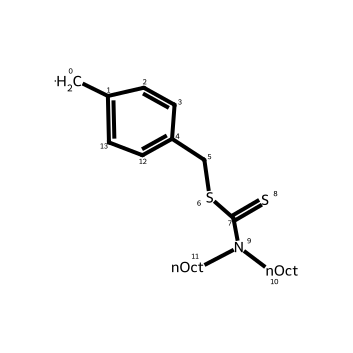 [CH2]c1ccc(CSC(=S)N(CCCCCCCC)CCCCCCCC)cc1